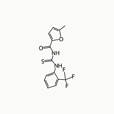 Cc1ccc(C(=O)NC(=S)Nc2ccccc2C(F)(F)F)o1